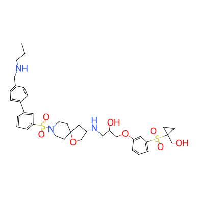 CCCNCc1ccc(-c2cccc(S(=O)(=O)N3CCC4(CC3)C[C@H](NCC(O)COc3cccc(S(=O)(=O)C5(CO)CC5)c3)CO4)c2)cc1